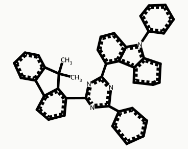 CC1(C)c2ccccc2-c2cccc(-c3nc(-c4ccccc4)nc(-c4cccc5c4c4ccccc4n5-c4ccccc4)n3)c21